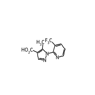 Cc1c(C(=O)O)cnn1-c1ncccc1C(F)(F)F